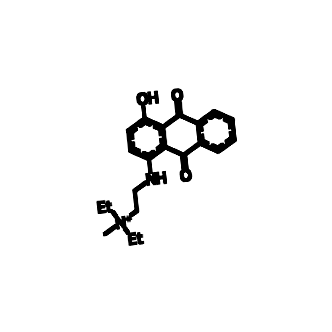 CC[N+](C)(CC)CCNc1ccc(O)c2c1C(=O)c1ccccc1C2=O